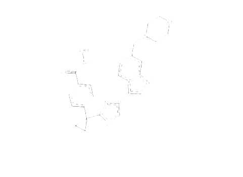 O=C(NO)c1ccc(C2(c3nc(-c4cnc5cc(CN6CCOCC6)ccn45)cs3)CC2)cc1